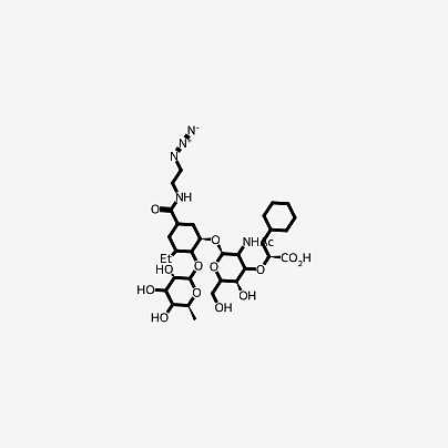 CCC1CC(C(=O)NCCN=[N+]=[N-])C[C@@H](O[C@@H]2OC(CO)[C@H](O)C(O[C@@H](CC3CCCCC3)C(=O)O)C2NC(C)=O)C1OC1O[C@@H](C)C(O)C(O)[C@@H]1O